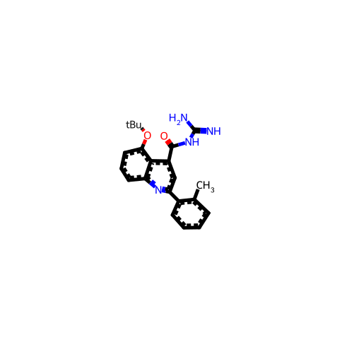 Cc1ccccc1-c1cc(C(=O)NC(=N)N)c2c(OC(C)(C)C)cccc2n1